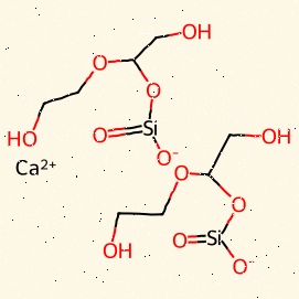 O=[Si]([O-])OC(CO)OCCO.O=[Si]([O-])OC(CO)OCCO.[Ca+2]